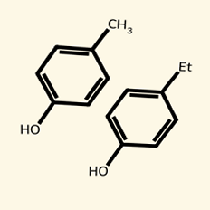 CCc1ccc(O)cc1.Cc1ccc(O)cc1